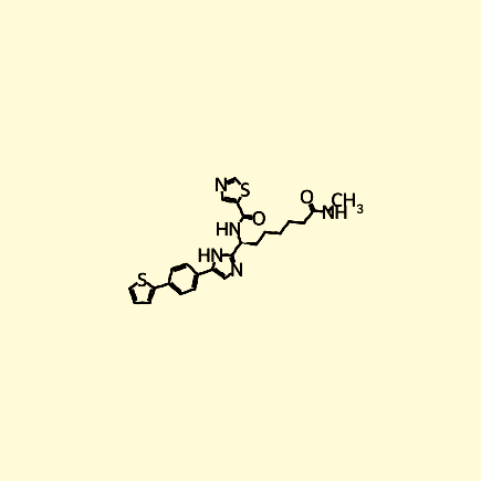 CNC(=O)CCCCC[C@H](NC(=O)c1cncs1)c1ncc(-c2ccc(-c3cccs3)cc2)[nH]1